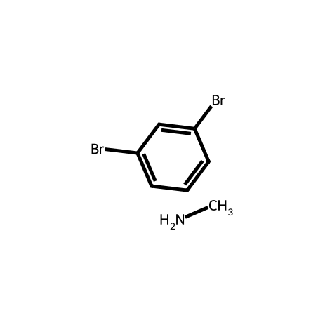 Brc1cccc(Br)c1.CN